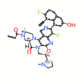 C#Cc1c(F)ccc2cc(O)cc(-c3ncc4c5c6c(nc4c3F)O[C@@H]([C@@H]3CCCN3C)CN6C(=O)[C@H]3CN(C(=O)C=C)[C@H](C)CN53)c12